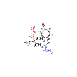 CC(C)(C)OC=O.NNCc1ccc(Br)cc1